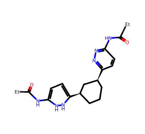 CCC(=O)NC1=CC=C([C@@H]2CCC[C@H](c3ccc(NC(=O)CC)nn3)C2)NN1